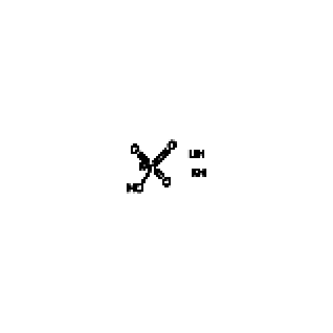 [KH].[LiH].[O]=[Mn](=[O])(=[O])[OH]